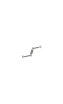 [Ti][N]=[N][Ti]